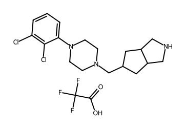 Clc1cccc(N2CCN(CC3CC4CNCC4C3)CC2)c1Cl.O=C(O)C(F)(F)F